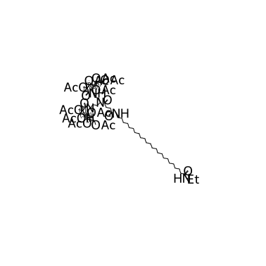 CCNC(=O)CCCCCCCCCCCCCCCCCCCCCCCNC(=O)CCC(=O)N(CCNC(=O)[C@@H](OC(C)=O)[C@H](OC(C)=O)[C@@H](OC(C)=O)[C@@H](COC(C)=O)OC(C)=O)CCNC(=O)[C@H](OC(C)=O)[C@@H](OC(C)=O)[C@H](OC(C)=O)[C@H](COC(C)=O)OC(C)=O